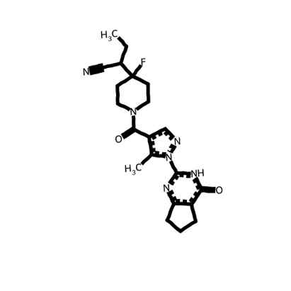 CCC(C#N)C1(F)CCN(C(=O)c2cnn(-c3nc4c(c(=O)[nH]3)CCC4)c2C)CC1